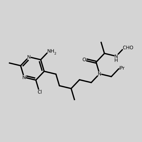 Cc1nc(N)c(CCC(C)CCN(CC(C)C)C(=O)C(C)NC=O)c(Cl)n1